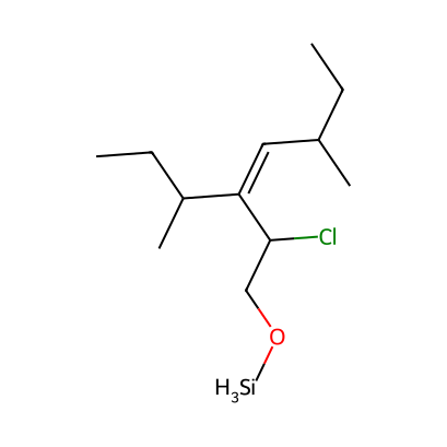 CCC(C)C=C(C(C)CC)C(Cl)CO[SiH3]